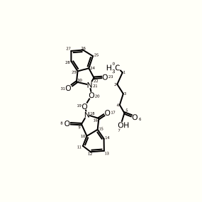 CCCCCC(=O)O.O=C1c2ccccc2C(=O)N1OON1C(=O)c2ccccc2C1=O